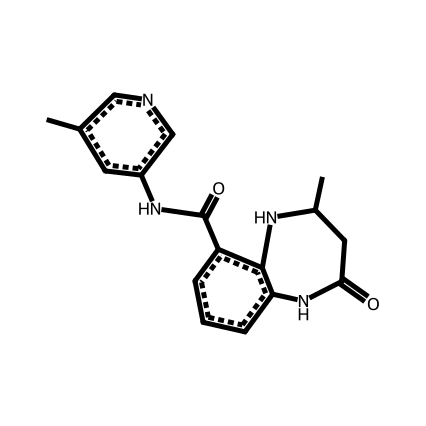 Cc1cncc(NC(=O)c2cccc3c2NC(C)CC(=O)N3)c1